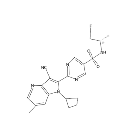 Cc1cnc2c(C#N)c(-c3ncc(S(=O)(=O)N[C@@H](C)CF)cn3)n(C3CCC3)c2c1